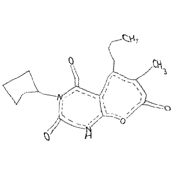 CCc1c(C)c(=O)oc2[nH]c(=O)n(C3CCC3)c(=O)c12